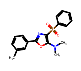 Cc1cccc(-c2nc(S(=O)(=O)c3ccccc3)c(N(C)C)o2)c1